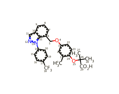 Cc1cc(OCc2cccc3cnn(-c4ccc(C(F)(F)F)cc4)c23)ccc1OC(C)(C)C(=O)O